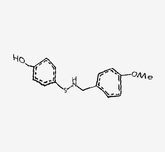 COc1ccc(CNSc2ccc(O)cc2)cc1